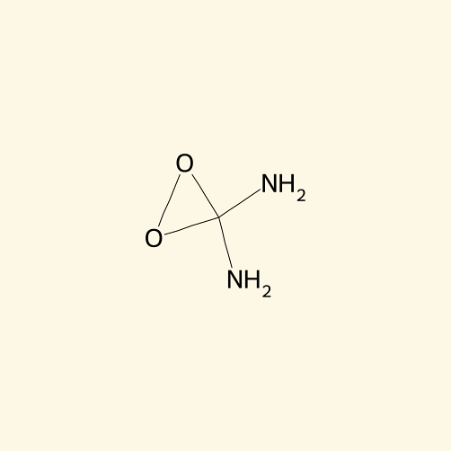 NC1(N)OO1